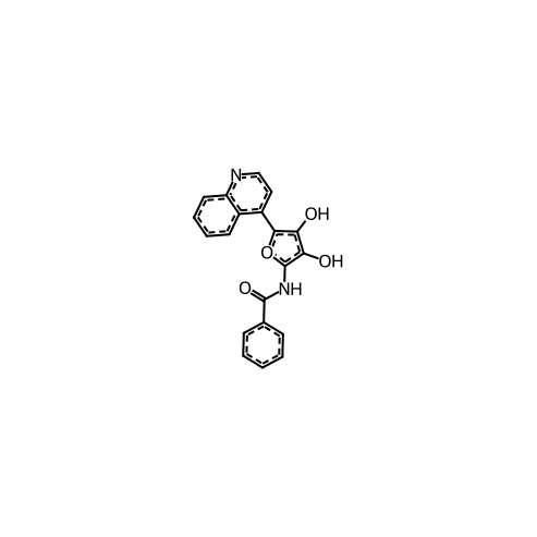 O=C(Nc1oc(-c2ccnc3ccccc23)c(O)c1O)c1ccccc1